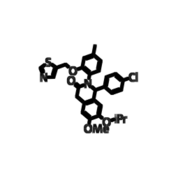 COc1cc2c(cc1OC(C)C)C(c1ccc(Cl)cc1)N(c1ccc(C)cc1OCc1cncs1)C(=O)C2